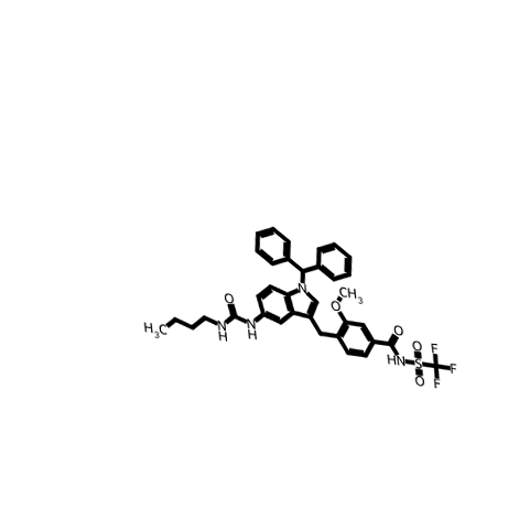 CCCCNC(=O)Nc1ccc2c(c1)c(Cc1ccc(C(=O)NS(=O)(=O)C(F)(F)F)cc1OC)cn2C(c1ccccc1)c1ccccc1